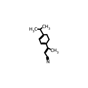 C/C(=C\C#N)C1=CC=C(C(C)C)CC1